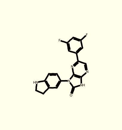 O=c1[nH]c2ncc(-c3cc(F)cc(F)c3)nc2n1-c1ccc2c(c1)CCN2